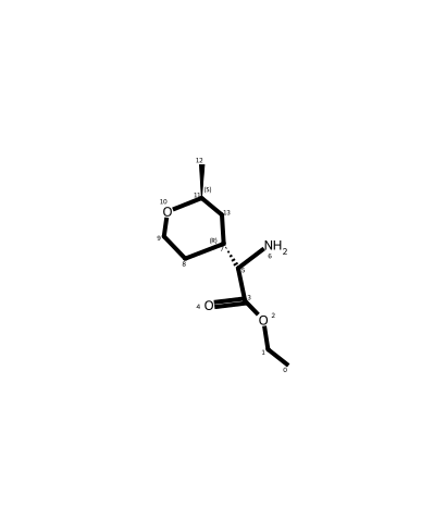 CCOC(=O)C(N)[C@@H]1CCO[C@@H](C)C1